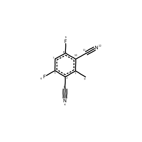 Cc1c(C#N)c(F)cc(F)c1C#N